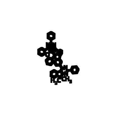 CC1(C)c2ccccc2-c2c(-c3ccc4c(c3)-c3cccc(-c5nc(-c6ccccc6)nc(-c6ccccc6)n5)c3C43c4ccccc4Oc4ccccc43)nc(-c3ccccc3)nc21